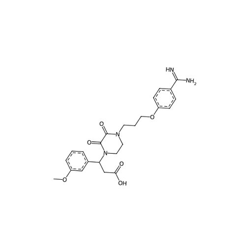 COc1cccc(C(CC(=O)O)N2CCN(CCCOc3ccc(C(=N)N)cc3)C(=O)C2=O)c1